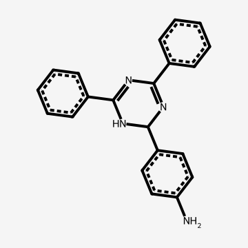 Nc1ccc(C2N=C(c3ccccc3)N=C(c3ccccc3)N2)cc1